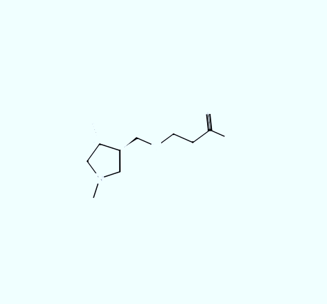 C[C@H]1CN(C)C[C@@H]1COCCC(=O)O